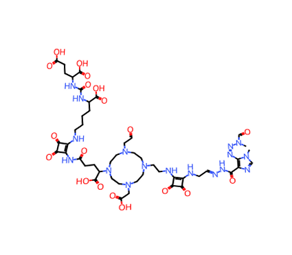 CN(C=O)/N=N\c1c(C(=O)N/N=C/CNc2c(NCCN3CCN(CC=O)CCN(C(CCC(=O)Nc4c(NCCCCC(NC(=O)NC(CCC(=O)O)C(=O)O)C(=O)O)c(=O)c4=O)C(=O)O)CCN(CC(=O)O)CC3)c(=O)c2=O)ncn1C